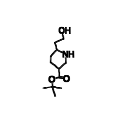 CC(C)(C)OC(=O)C1CCC(CCO)NC1